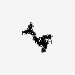 Fc1ccc(B2OB(c3ccc(F)cc3)OB(c3ccc(F)cc3)O2)cc1.Oc1ccc(N=Nc2ccccc2)cc1B1OB(c2cc(N=Nc3ccccc3)ccc2O)OB(c2cc(N=Nc3ccccc3)ccc2O)O1